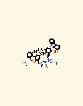 Cc1cc(CN(C)CCN(C)CCc2cc(C)cc(-n3c4ccccc4c4ccccc43)c2O)c2c(c1)-c1c(C(C)C)cccc1C(C)O2